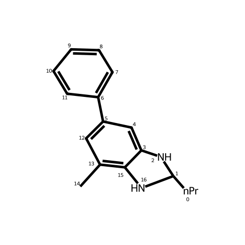 CCCC1Nc2cc(-c3ccccc3)cc(C)c2N1